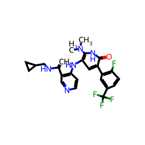 C=C(NCC1CC1)c1cnccc1Nc1cc(-c2cc(C(F)(F)F)ccc2F)c(=O)[nH]c1N(C)C